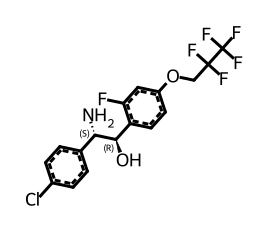 N[C@@H](c1ccc(Cl)cc1)[C@H](O)c1ccc(OCC(F)(F)C(F)(F)F)cc1F